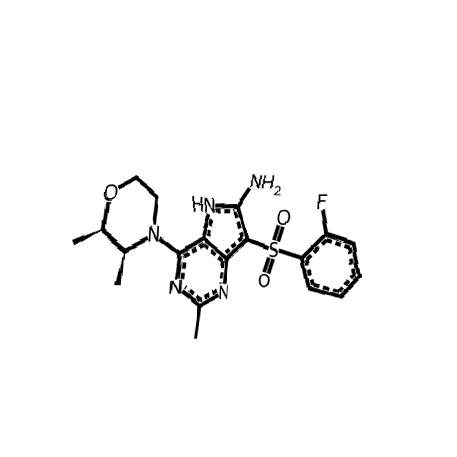 Cc1nc(N2CCO[C@H](C)[C@@H]2C)c2[nH]c(N)c(S(=O)(=O)c3ccccc3F)c2n1